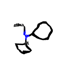 CC(C)(C)N(C1CCCCC1)[SiH]1CCCC1